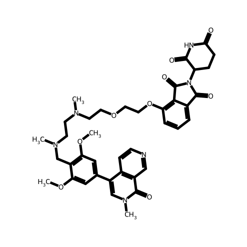 COc1cc(-c2cn(C)c(=O)c3cnccc23)cc(OC)c1CN(C)CCN(C)CCOCCOc1cccc2c1C(=O)N(C1CCC(=O)NC1=O)C2=O